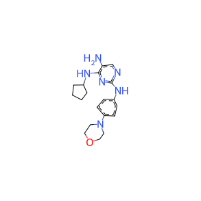 Nc1cnc(Nc2ccc(N3CCOCC3)cc2)nc1NC1CCCC1